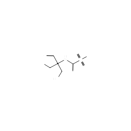 CC(NC(CO)(CO)CO)S(=O)(=O)O